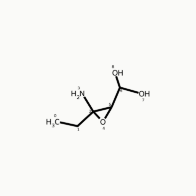 CCC1(N)OC1C(O)O